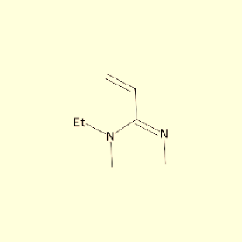 C=C/C(=N/C)N(C)CC